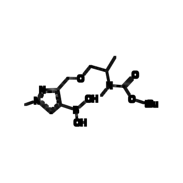 CC(COCc1nn(C)cc1B(O)O)N(C)C(=O)OC(C)(C)C